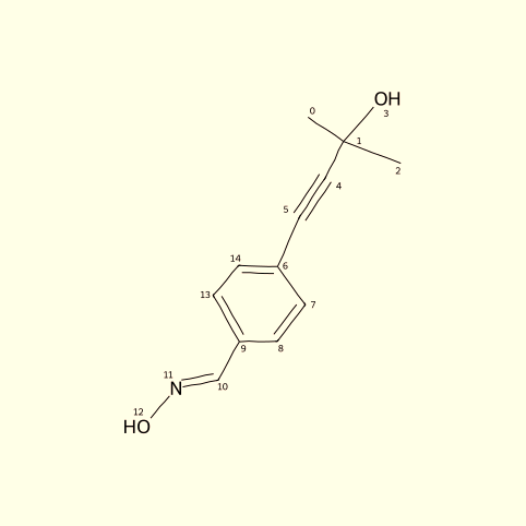 CC(C)(O)C#Cc1ccc(C=NO)cc1